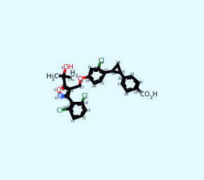 CC(C)(O)c1onc(-c2c(Cl)cccc2Cl)c1COc1ccc(C2CC2c2ccc(C(=O)O)cc2)c(Cl)c1